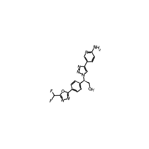 Nc1ccc(-c2cn([C@@H](CO)c3ccc(-c4nnc(C(F)F)o4)cc3)nn2)cn1